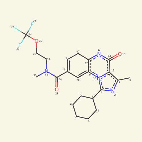 Cc1nc(C2CCCCC2)n2c3c(nc(=O)c12)CC=C(C(=O)N(C)CCOC(F)(F)F)C=3